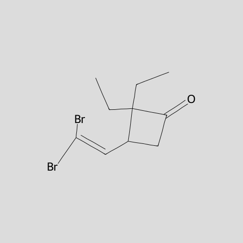 CCC1(CC)C(=O)CC1C=C(Br)Br